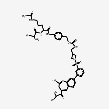 CCCN(CCC)C(=O)C1=Cc2ccc(-c3cccc(S(=O)(=O)N4CC(CNC(=O)OCc5ccc(NC(=O)C(CCCNC(N)=O)NC(=O)C(N)C(C)C)cc5)C4)c3)cc2N=C(N)C1